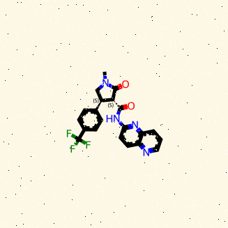 CN1C[C@H](c2ccc(C(F)(F)F)cc2)[C@@H](C(=O)Nc2ccc3ncccc3n2)C1=O